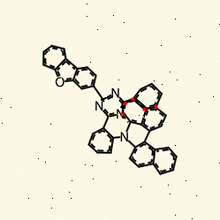 c1ccc(-c2nc(-c3ccc4c(c3)oc3ccccc34)nc(-c3ccccc3N3c4ccc5ccccc5c4-c4cccc5cccc3c45)n2)cc1